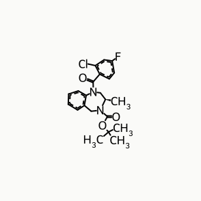 C[C@@H]1CN(C(=O)c2ccc(F)cc2Cl)c2ccccc2CN1C(=O)OC(C)(C)C